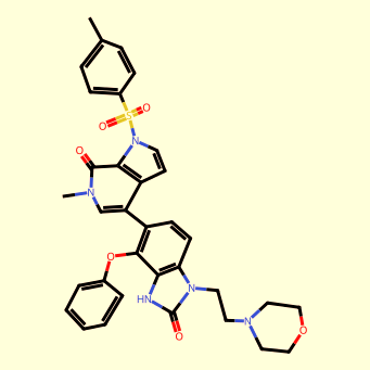 Cc1ccc(S(=O)(=O)n2ccc3c(-c4ccc5c([nH]c(=O)n5CCN5CCOCC5)c4Oc4ccccc4)cn(C)c(=O)c32)cc1